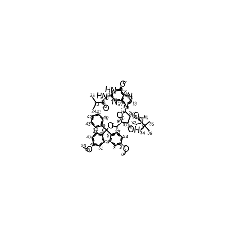 COc1ccc(C(OC[C@H]2O[C@@H](n3cnc4c(=O)[nH]c(NC(=O)C(C)C)nc43)[C@H](O[Si](C)(C)C(C)(C)C)[C@@H]2O)(c2ccccc2)c2ccc(OC)cc2)cc1